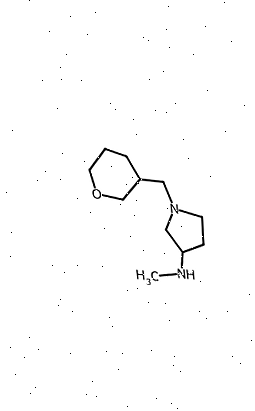 CNC1CCN(CC2CCCOC2)C1